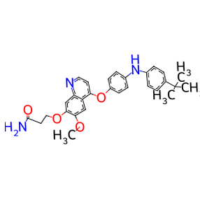 COc1cc2c(Oc3ccc(Nc4ccc(C(C)(C)C)cc4)cc3)ccnc2cc1OCCC(N)=O